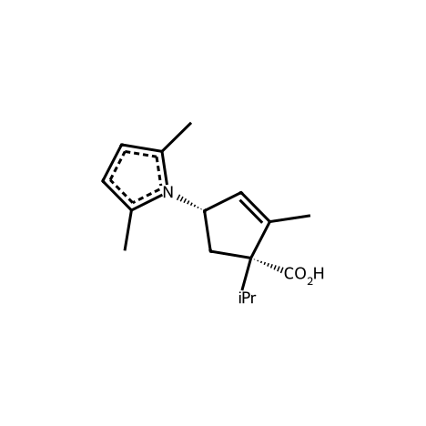 CC1=C[C@@H](n2c(C)ccc2C)C[C@]1(C(=O)O)C(C)C